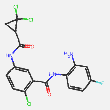 Nc1cc(F)ccc1NC(=O)c1cc(NC(=O)C2CC2(Cl)Cl)ccc1Cl